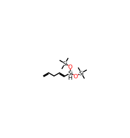 C=CCC=C[SiH](O[Si](C)(C)C)O[Si](C)(C)C